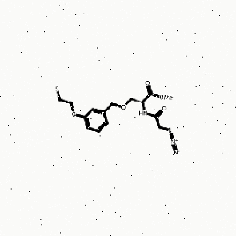 COC(=O)[C@H](COCc1cccc(OCCF)c1)NC(=O)CN=[N+]=[N-]